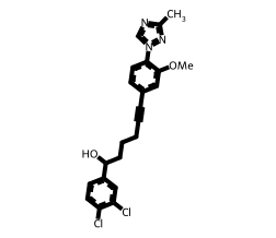 COc1cc(C#CCCCC(O)c2ccc(Cl)c(Cl)c2)ccc1-n1cnc(C)n1